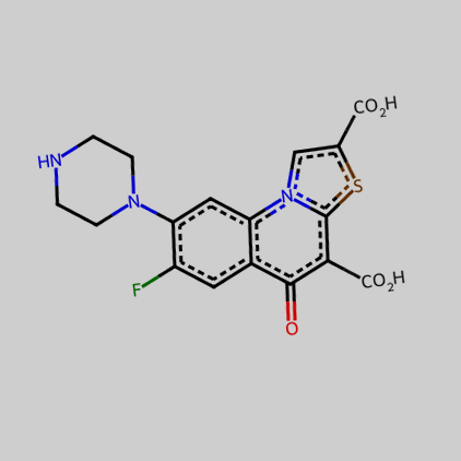 O=C(O)c1cn2c(s1)c(C(=O)O)c(=O)c1cc(F)c(N3CCNCC3)cc12